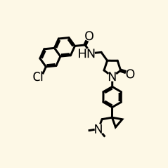 CN(C)CC1(c2ccc(N3CC(CNC(=O)c4ccc5ccc(Cl)cc5c4)CC3=O)cc2)CC1